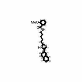 COc1ccccc1C(=O)NCCCCCc1ncc(-c2ccc3ccccc3c2)[nH]1